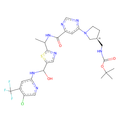 CC(NC(=O)c1cc(N2CC[C@@H](CNC(=O)OC(C)(C)C)C2)ncn1)c1ncc(C(O)Nc2cc(C(F)(F)F)c(Cl)cn2)s1